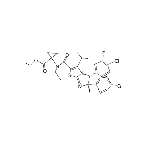 CCOC(=O)C1(N(CC)C(=O)C2=C(C(C)C)N3C(=N[C@@](C)(c4ccc(Cl)nc4)[C@H]3c3ccc(Cl)c(F)c3)S2)CC1